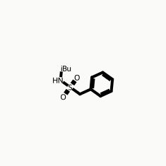 CCC(C)NS(=O)(=O)Cc1ccccc1